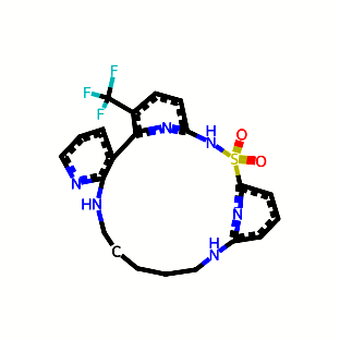 O=S1(=O)Nc2ccc(C(F)(F)F)c(n2)-c2cccnc2NCCCCCNc2cccc1n2